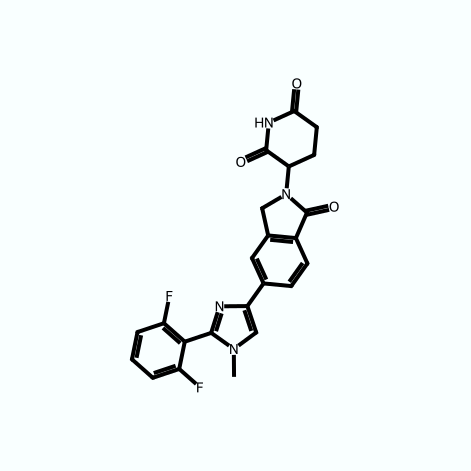 Cn1cc(-c2ccc3c(c2)CN(C2CCC(=O)NC2=O)C3=O)nc1-c1c(F)cccc1F